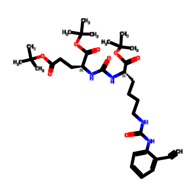 C#Cc1ccccc1NC(=O)NCCCC[C@H](NC(=O)N[C@@H](CCC(=O)OC(C)(C)C)C(=O)OC(C)(C)C)C(=O)OC(C)(C)C